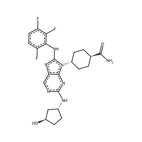 NC(=O)[C@H]1CC[C@H](n2c(Nc3c(F)ccc(F)c3F)nc3cnc(N[C@@H]4CC[C@@H](O)C4)nc32)CC1